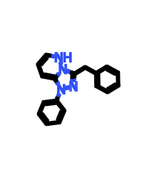 C1=CNN2C(=C1)N(c1ccccc1)N=C2Cc1ccccc1